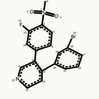 CS(=O)(=O)c1ccc(-c2cnccc2-c2cccc(Br)c2)cc1F